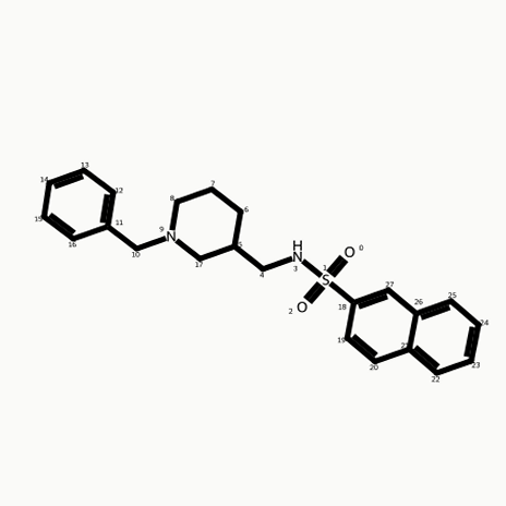 O=S(=O)(NCC1CCCN(Cc2ccccc2)C1)c1ccc2ccccc2c1